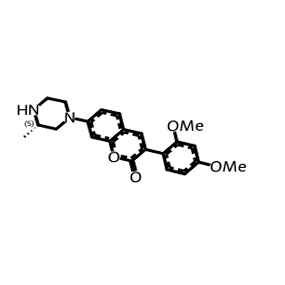 COc1ccc(-c2cc3ccc(N4CCN[C@@H](C)C4)cc3oc2=O)c(OC)c1